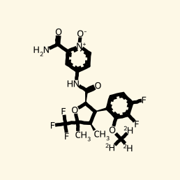 [2H]C([2H])([2H])Oc1c([C@H]2[C@@H](C)C(C)(C(F)(F)F)O[C@H]2C(=O)Nc2cc[n+]([O-])c(C(N)=O)c2)ccc(F)c1F